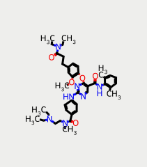 CCN(CC)CCN(C)C(=O)c1ccc(Nc2ncc(C(=O)Nc3c(C)cccc3C)c(Oc3ccc(CCC(=O)N(CC)CC)cc3OC)n2)cc1